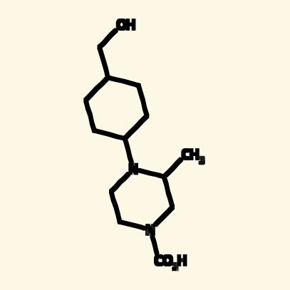 CC1CN(C(=O)O)CCN1C1CCC(CO)CC1